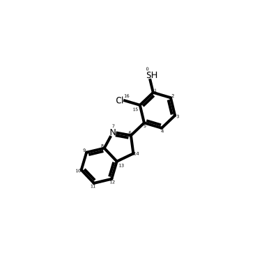 Sc1cccc(C2=Nc3ccccc3C2)c1Cl